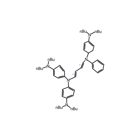 CCCCN(CCCC)C1=CCC(N(/C=C/C=C/N(c2ccc(N(CCCC)CCCC)cc2)c2ccc(N(CCCC)CCCC)cc2)c2ccccc2)C=C1